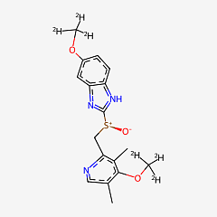 [2H]C([2H])([2H])Oc1ccc2[nH]c([S@@+]([O-])Cc3ncc(C)c(OC([2H])([2H])[2H])c3C)nc2c1